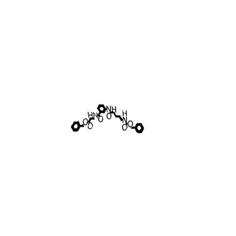 O=C(CCCCNC(=O)OCc1ccccc1)Nc1cccc(C(=O)NCCC(=O)OCc2ccccc2)c1